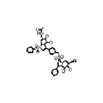 CC(=O)NCC1=CC2C(C(=O)C1=O)C(c1ccc(CS(=O)(=O)N3C=C(c4ccccc4)C4C(=O)C(=O)C(C#N)=CC43)cc1)=CN2S(=O)(=O)c1ccccc1